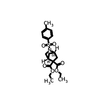 CCOC(=O)C1(C(=O)OCC)C[C@@H]2C[C@H]1CN2S(=O)(=O)c1ccc(C)cc1